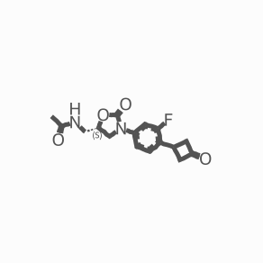 CC(=O)NC[C@H]1CN(c2ccc(C3CC(=O)C3)c(F)c2)C(=O)O1